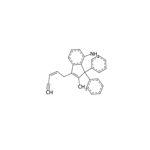 C#C/C=C\CC1=C(C)C(c2ccccc2)(c2ccccc2)c2c(N)cccc21